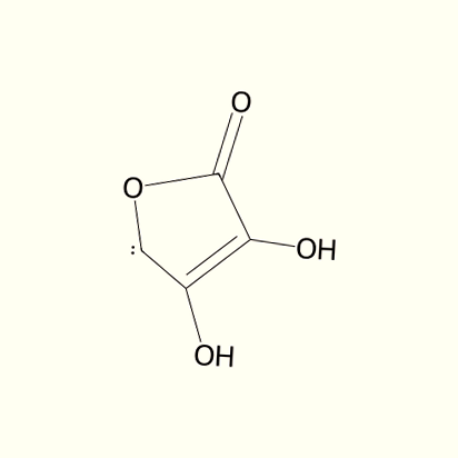 O=C1O[C]C(O)=C1O